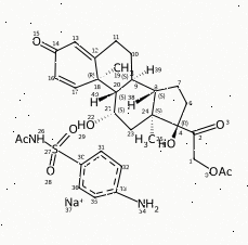 CC(=O)OCC(=O)[C@@]1(O)CC[C@H]2[C@@H]3CCC4=CC(=O)C=C[C@]4(C)[C@H]3[C@@H](O)C[C@@]21C.CC(=O)[N-]S(=O)(=O)c1ccc(N)cc1.[Na+]